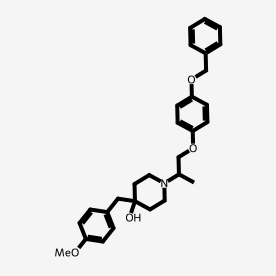 COc1ccc(CC2(O)CCN(C(C)COc3ccc(OCc4ccccc4)cc3)CC2)cc1